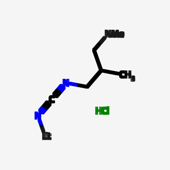 CCN=C=NCC(C)CNC.Cl